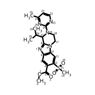 COC(=O)c1cc2nc3n(c2cc1S(C)(=O)=O)CCN(c1nccc(C)n1)C3C(C)C